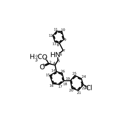 COC(=O)C(CNCc1ccccc1)c1cccc(-c2ccc(Cl)cc2)c1